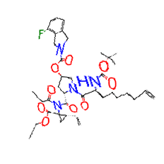 C=CCCCCC[C@H](NC(=O)OC(C)(C)C)C(=O)N1C[C@H](OC(=O)N2Cc3cccc(F)c3C2)C[C@H]1C(=O)N(C(=O)CC)[C@]1(C(=O)OCC)C[C@H]1C=C